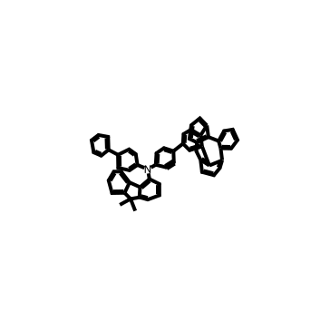 CC1(C)c2ccccc2-c2c(N(c3c#cc(-c4ccc5c(c4)-c4c6cccc4-c4ccccc4-c4c(cccc4-5)C6)cc3)c3ccc(-c4ccccc4)cc3)cccc21